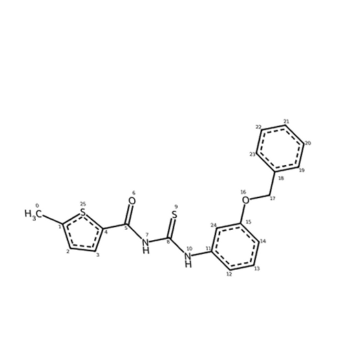 Cc1ccc(C(=O)NC(=S)Nc2cccc(OCc3ccccc3)c2)s1